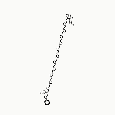 C=C(C)CCOCCOCCOCCOCCOCCOCCOCCOCCOCCOCCOCC(O)COc1ccccc1